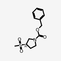 CS(=O)(=O)[C@@H]1CCN(C(=O)OCc2ccccc2)C1